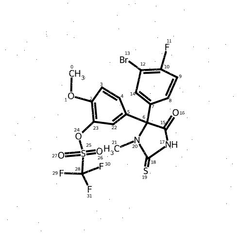 COc1ccc(C2(c3ccc(F)c(Br)c3)C(=O)NC(=S)N2C)cc1OS(=O)(=O)C(F)(F)F